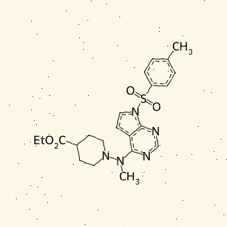 CCOC(=O)C1CCN(N(C)c2ncnc3c2ccn3S(=O)(=O)c2ccc(C)cc2)CC1